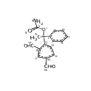 CC(OC(N)=O)(c1ccccc1)c1ccc(C=O)cc1C=O